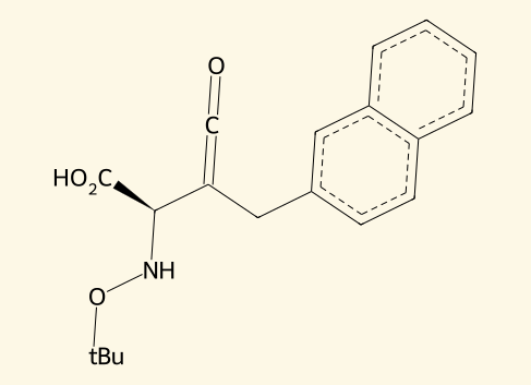 CC(C)(C)ON[C@@H](C(=O)O)C(=C=O)Cc1ccc2ccccc2c1